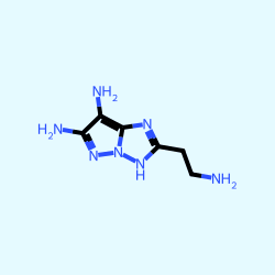 NCCc1nc2c(N)c(N)nn2[nH]1